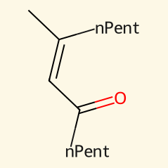 CCCCCC(=O)/C=C(/C)CCCCC